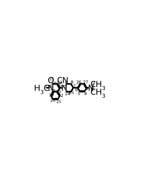 CN(C)c1ccc(C2CCN(c3c(C#N)c(=O)n(C)c4ccccc34)CC2)cc1